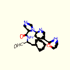 O=C[C@H](Cc1ccccc1)NC(=O)c1cncn1-c1ccc(-c2ncco2)cn1